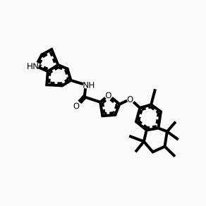 Cc1cc2c(cc1Oc1ccc(C(=O)Nc3ccc4[nH]ccc4c3)o1)C(C)(C)CC(C)C2(C)C